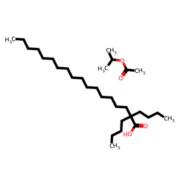 CC(=O)OC(C)C.CCCCCCCCCCCCCCCCC(CCCC)(CCCC)C(=O)O